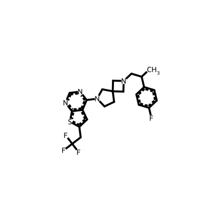 CC(CN1CC2(CCN(c3ncnc4sc(CC(F)(F)F)cc34)C2)C1)c1ccc(F)cc1